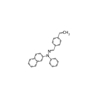 C=Cc1ccc(/C=N/N(c2ccccc2)c2ccc3ccccc3c2)cc1